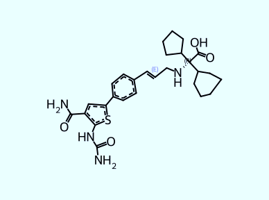 NC(=O)Nc1sc(-c2ccc(/C=C/CN[C@](C(=O)O)(C3CCCCC3)C3CCCC3)cc2)cc1C(N)=O